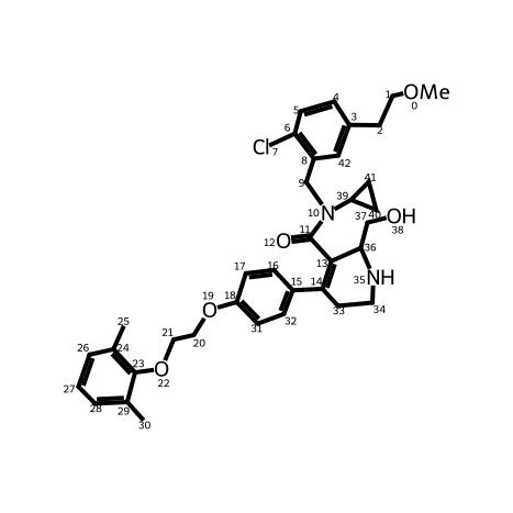 COCCc1ccc(Cl)c(CN(C(=O)C2=C(c3ccc(OCCOc4c(C)cccc4C)cc3)CCNC2CO)C2CC2)c1